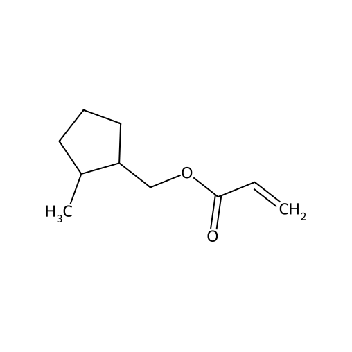 C=CC(=O)OCC1CCCC1C